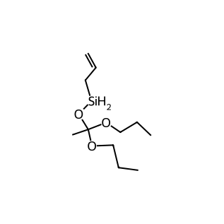 C=CC[SiH2]OC(C)(OCCC)OCCC